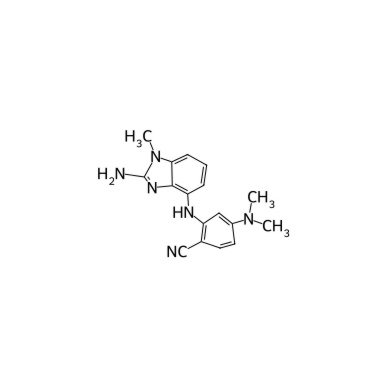 CN(C)c1ccc(C#N)c(Nc2cccc3c2nc(N)n3C)c1